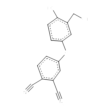 CCc1cc(Oc2ccc(C#N)c(C#N)c2)ccc1C